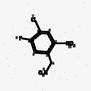 O=[N+]([O-])Cc1cc(F)c(Cl)cc1[N+](=O)[O-]